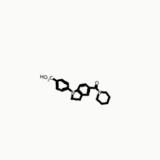 O=C(O)c1ccc(N2CCc3cc(C(=O)N4CCCCC4)ccc32)cc1